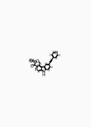 COCc1c(C(=O)OC(C)C)ncc2[nH]c3ccc(C#Cc4ccncc4)cc3c12